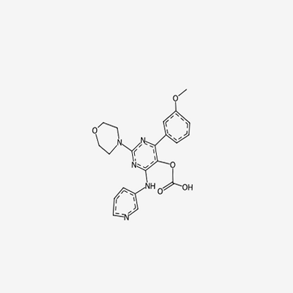 COc1cccc(-c2nc(N3CCOCC3)nc(Nc3cccnc3)c2OC(=O)O)c1